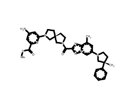 Cc1cc(N2CC[C@](C)(c3ccccc3)C2)cn2nc(C(=O)N3CC[C@@]4(CCN(c5cc(N)cc(C(=O)OC(C)(C)C)n5)C4)C3)nc12